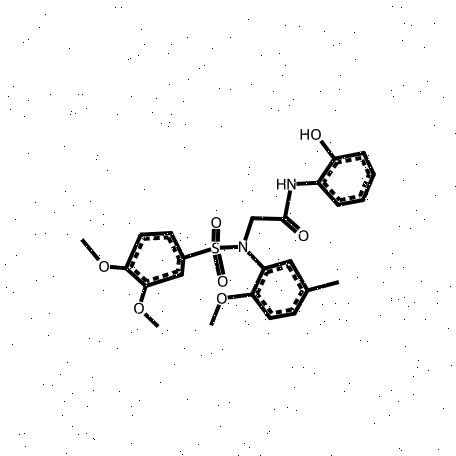 COc1ccc(S(=O)(=O)N(CC(=O)Nc2ccccc2O)c2cc(C)ccc2OC)cc1OC